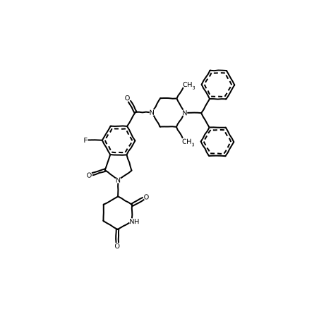 CC1CN(C(=O)c2cc(F)c3c(c2)CN(C2CCC(=O)NC2=O)C3=O)CC(C)N1C(c1ccccc1)c1ccccc1